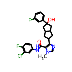 Cn1cnc(C2CC3CC(O)(c4cccc(F)c4)CC3C2)c1C(=O)Nc1ccc(F)c(Cl)c1